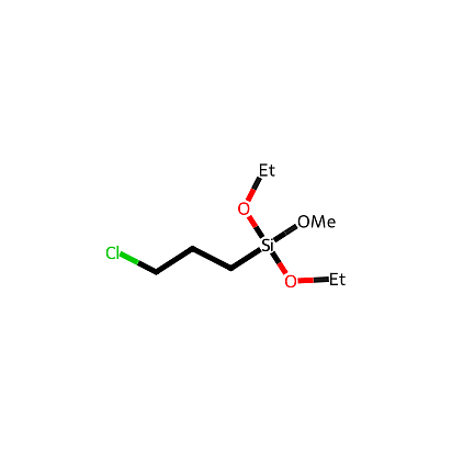 CCO[Si](CCCCl)(OC)OCC